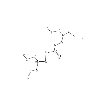 CCCN(CCC)CCC(=O)CCN(CCC)CCC